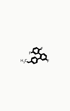 CCc1ccc(-c2cc(F)ccc2-c2cc(F)ccc2F)cc1